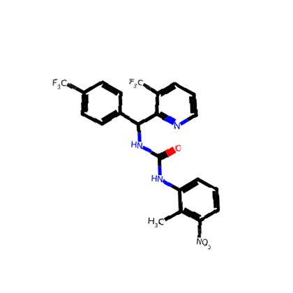 Cc1c(NC(=O)NC(c2ccc(C(F)(F)F)cc2)c2ncccc2C(F)(F)F)cccc1[N+](=O)[O-]